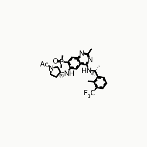 CC(=O)N1CC[C@@H](Nc2cc3c(N[C@H](C)c4cccc(C(F)(F)F)c4C)nc(C)nc3cc2P(C)(C)=O)C1